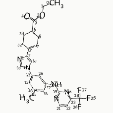 CCOC(=O)C1CC=C(c2cn(-c3cc(C)cc(Nc4nccc(C(F)(F)F)n4)c3)cn2)CC1